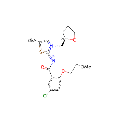 COCCOc1ccc(Cl)cc1C(=O)/N=c1\sc(C(C)(C)C)cn1C[C@H]1CCCO1